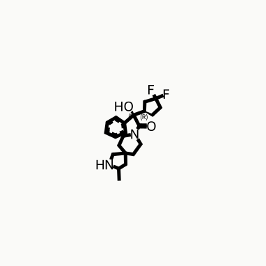 CC1CC2(CCN(C(=O)[C@](O)(c3ccccc3)[C@@H]3CCC(F)(F)C3)CC2)CN1